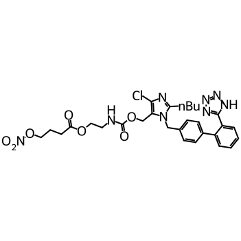 CCCCc1nc(Cl)c(COC(=O)NCCOC(=O)CCCO[N+](=O)[O-])n1Cc1ccc(-c2ccccc2-c2nnn[nH]2)cc1